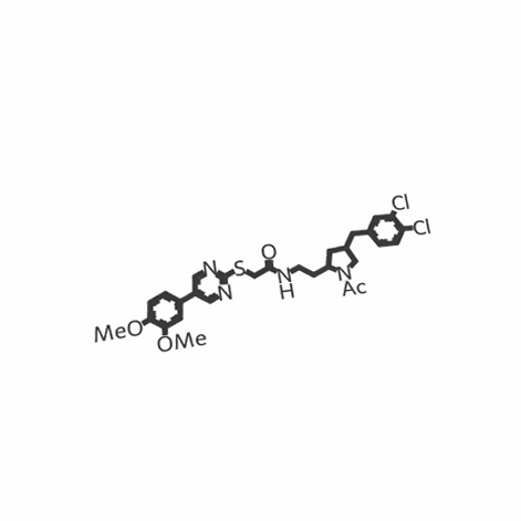 COc1ccc(-c2cnc(SCC(=O)NCCC3CC(Cc4ccc(Cl)c(Cl)c4)CN3C(C)=O)nc2)cc1OC